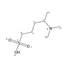 [CH2]C(CCCS(=O)(=O)O)N(C)C